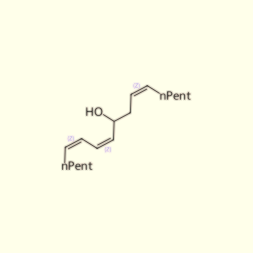 CCCCC/C=C\C=C/C(O)C/C=C\CCCCC